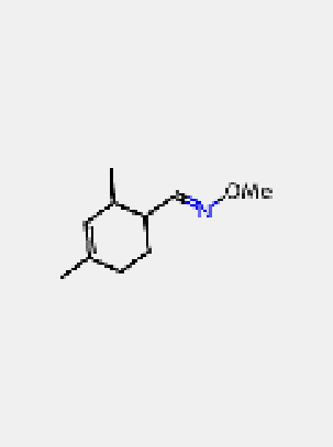 CON=CC1CCC(C)=CC1C